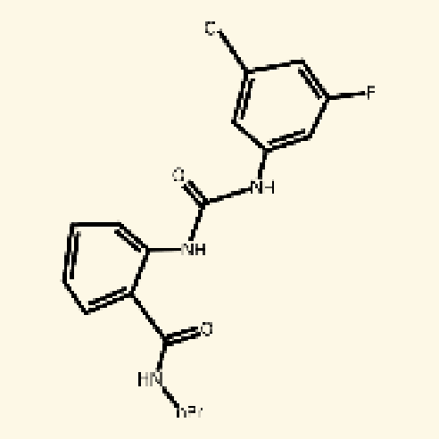 CCCNC(=O)c1ccccc1NC(=O)Nc1cc(F)cc(Cl)c1